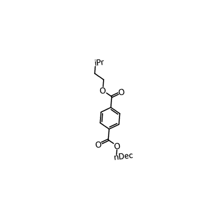 CCCCCCCCCCOC(=O)c1ccc(C(=O)OCCC(C)C)cc1